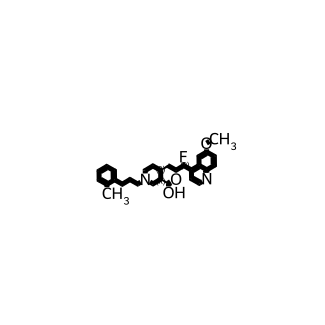 COc1ccc2nccc([C@H](F)CC[C@@H]3CCN(CCCc4ccccc4C)C[C@@H]3C(=O)O)c2c1